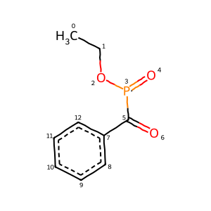 CCO[P](=O)C(=O)c1ccccc1